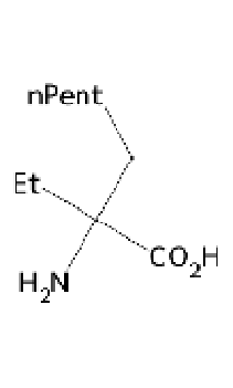 CCCCCCC(N)(CC)C(=O)O